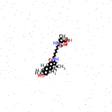 C=C(C)[C@@H]1CC[C@]2(C(=O)NCCCCCCCC(=O)NC(CC(C)C)[C@@H](O)CC(=O)O)CC[C@]3(C)C(CCC4[C@@]5(C)CC[C@H](O)C(C)(C)C5CC[C@]43C)C12